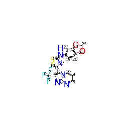 FC(F)(F)c1nc2ncccn2c1-c1csc(Nc2ccc3c(c2)OCO3)n1